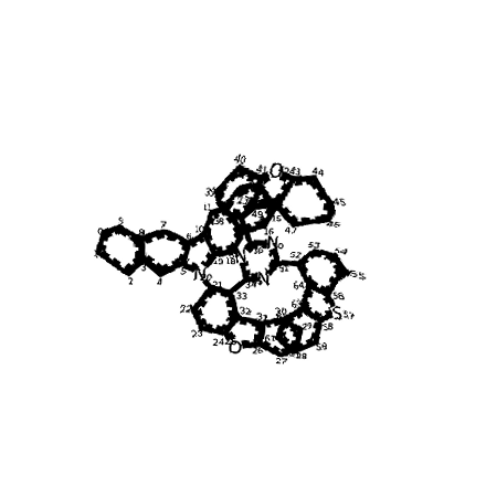 c1ccc2cc3c(cc2c1)c1cc2ccccc2cc1n3-c1ccc2oc3ccccc3c2c1-c1nc(-c2cccc3oc4ccccc4c23)nc(-c2cccc3sc4ccccc4c23)n1